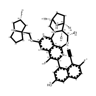 C#Cc1c(F)ccc2cc(O)cc(-c3nc4c5c(nc(OC[C@@]67CCCN6C[C@H](F)C7)nc5c3F)N3C[C@H]5CC[C@H](N5)[C@H]3[C@H](CC)O4)c12